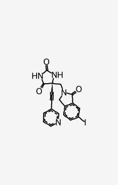 O=C1NC(=O)[C@@](C#Cc2cccnc2)(CN2Cc3ccc(I)cc3C2=O)N1